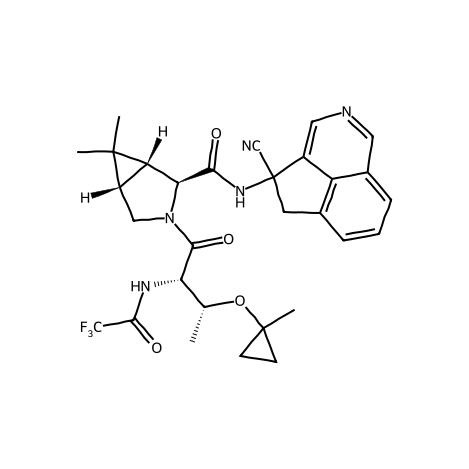 C[C@@H](OC1(C)CC1)[C@H](NC(=O)C(F)(F)F)C(=O)N1C[C@H]2[C@@H]([C@H]1C(=O)NC1(C#N)Cc3cccc4cncc1c34)C2(C)C